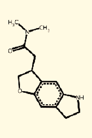 CN(C)C(=O)CC1COc2cc3c(cc21)NCC3